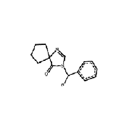 O=C1N(C(Br)c2ccccc2)C=NC12CCCC2